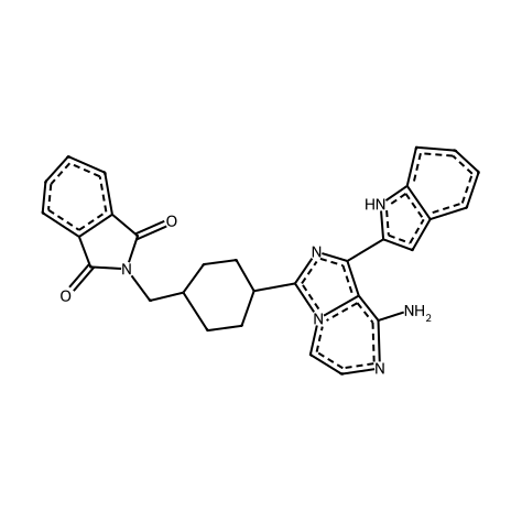 Nc1nccn2c(C3CCC(CN4C(=O)c5ccccc5C4=O)CC3)nc(-c3cc4ccccc4[nH]3)c12